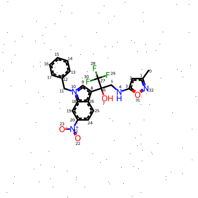 Cc1cc(NCC(O)(c2cn(Cc3ccccc3)c3cc([N+](=O)[O-])ccc23)C(F)(F)F)on1